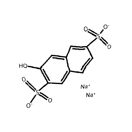 O=S(=O)([O-])c1ccc2cc(S(=O)(=O)[O-])c(O)cc2c1.[Na+].[Na+]